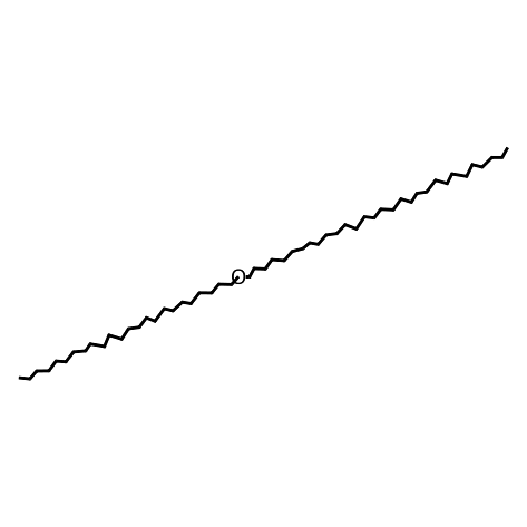 CCCCCCCCCCCCCCCCCCCCCCCCCCCCCCOCCCCCCCCCCCCCCCCCCCCCCCC